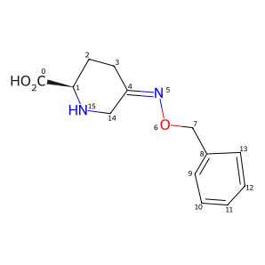 O=C(O)[C@H]1CCC(=NOCc2ccccc2)CN1